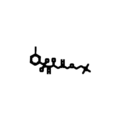 C[Si](C)(C)CCOCNCC(=O)NS(=O)(=O)c1cccc(I)c1